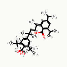 CC(C)c1cc(C(C)C)c(C(=O)O)c(C(C)CCC(C)(C)c2cc(C(C)(C)C)c(C(=O)O)c(C(C)(C)C)c2)c1